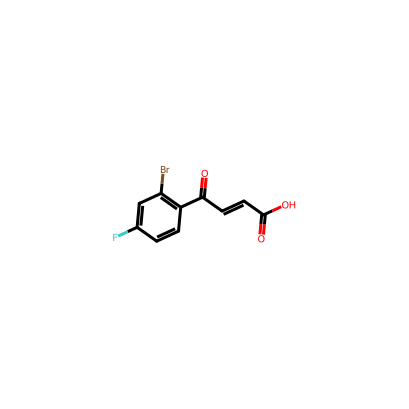 O=C(O)/C=C/C(=O)c1ccc(F)cc1Br